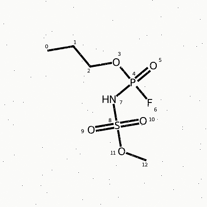 CCCOP(=O)(F)NS(=O)(=O)OC